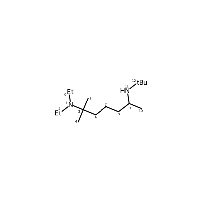 CCN(CC)C(C)(C)CCCC(C)NC(C)(C)C